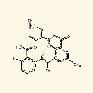 C#C/C=C\C(=N/C)c1cc(=O)c2cc(C)cc(C(C)Nc3cccc(F)c3C(=O)O)c2o1